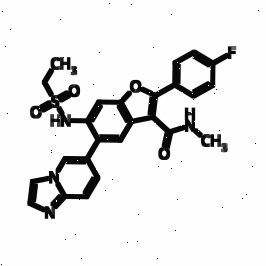 CCS(=O)(=O)Nc1cc2oc(-c3ccc(F)cc3)c(C(=O)NC)c2cc1-c1ccc2nccn2c1